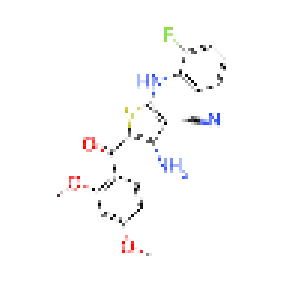 COc1ccc(C(=O)c2sc(Nc3ccccc3F)c(C#N)c2N)c(OC)c1